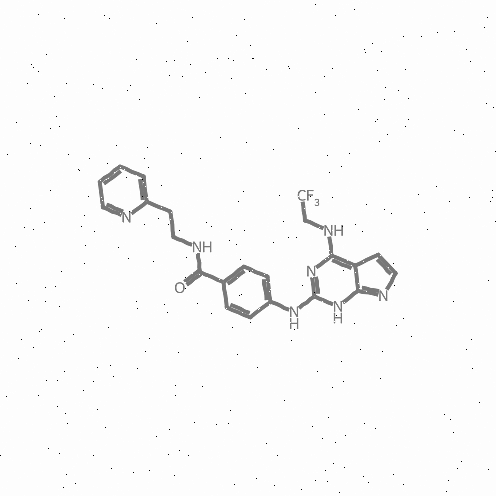 O=C(NCCc1ccccn1)c1ccc(Nc2nc(NCC(F)(F)F)c3ccnc-3[nH]2)cc1